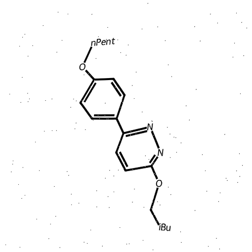 CCCCCOc1ccc(-c2ccc(OCC(C)CC)nn2)cc1